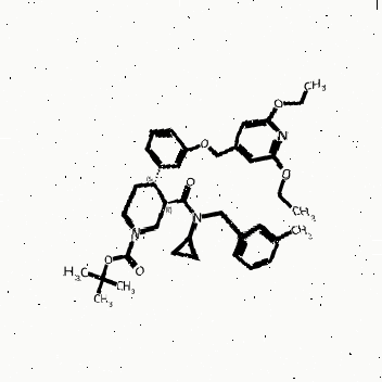 CCOc1cc(COc2cccc([C@H]3CCN(C(=O)OC(C)(C)C)C[C@@H]3C(=O)N(Cc3cccc(C)c3)C3CC3)c2)cc(OCC)n1